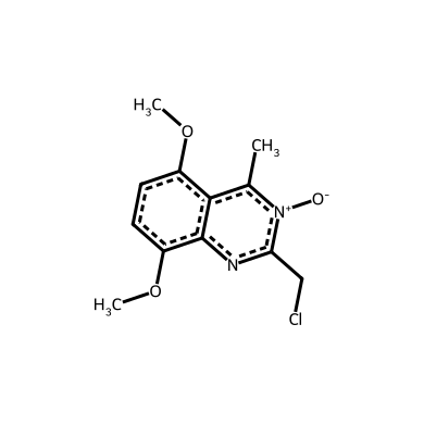 COc1ccc(OC)c2c(C)[n+]([O-])c(CCl)nc12